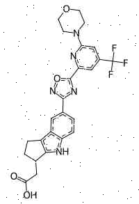 O=C(O)CC1CCc2c1[nH]c1ccc(-c3noc(-c4cc(C(F)(F)F)cc(N5CCOCC5)n4)n3)cc21